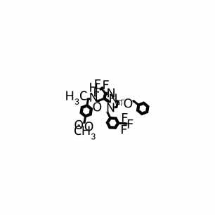 COC(=O)c1ccc(C(C)NC(=O)c2c(C(F)(F)F)nn3c2N(Cc2cccc(C(F)(F)F)c2)C[C@H]3COCc2ccccc2)cc1